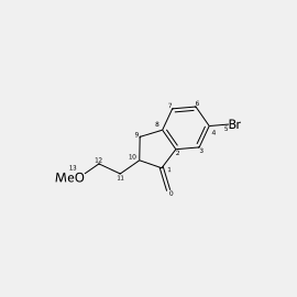 C=C1c2cc(Br)ccc2CC1CCOC